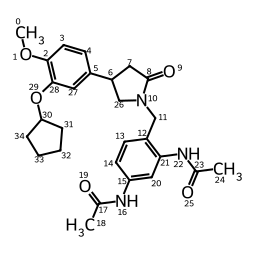 COc1ccc(C2CC(=O)N(Cc3ccc(NC(C)=O)cc3NC(C)=O)C2)cc1OC1CCCC1